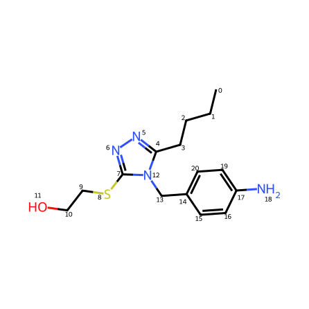 CCCCc1nnc(SCCO)n1Cc1ccc(N)cc1